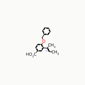 C/C=C(\C)c1cc(C(=O)O)ccc1OCc1ccccc1